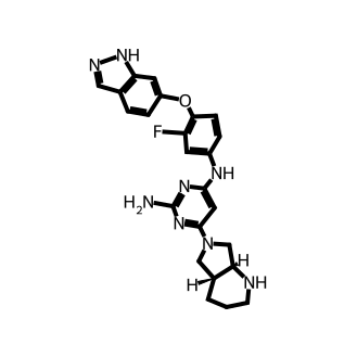 Nc1nc(Nc2ccc(Oc3ccc4cn[nH]c4c3)c(F)c2)cc(N2C[C@H]3CCCN[C@H]3C2)n1